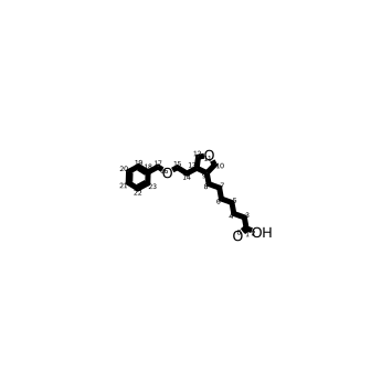 O=C(O)CCCCCCC1COCC1CCOCc1ccccc1